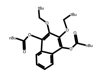 CCCCC(=O)Oc1c(OCC(C)(C)C)c(OCC(C)(C)C)c(OC(=O)CCCC)c2ccccc12